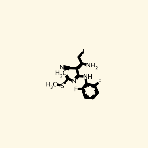 C=C(/N=C(Nc1c(F)cccc1F)\C(C#N)=C(/N)CI)SC